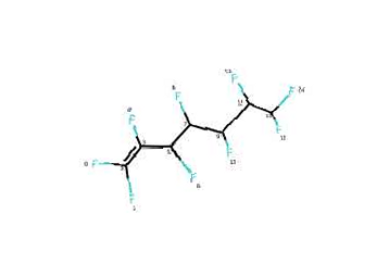 FC(F)=C(F)C(F)C(F)C(F)C(F)C(F)F